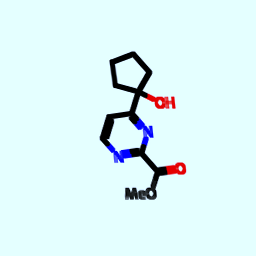 COC(=O)c1nccc(C2(O)CCCC2)n1